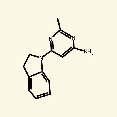 Cc1nc(N)cc(N2CCc3ccccc32)n1